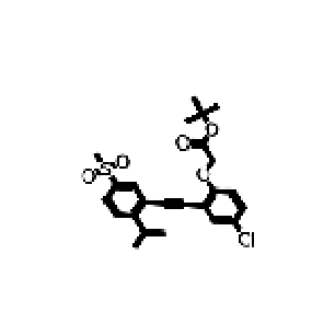 CC(C)c1ccc(S(C)(=O)=O)cc1C#Cc1cc(Cl)ccc1OCC(=O)OC(C)(C)C